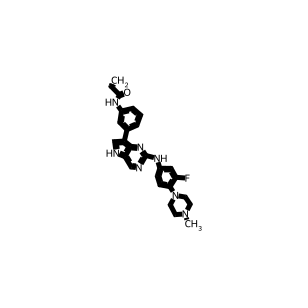 C=CC(=O)Nc1cccc(-c2c[nH]c3cnc(Nc4ccc(N5CCN(C)CC5)c(F)c4)nc23)c1